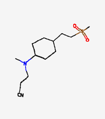 CN(CCC#N)C1CCC(CCS(C)(=O)=O)CC1